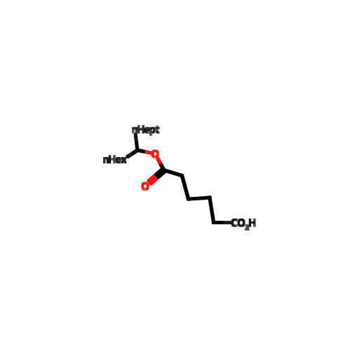 CCCCCCCC(CCCCCC)OC(=O)CCCCC(=O)O